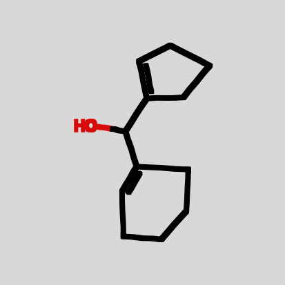 OC(C1=CCCC1)C1=CCCCC1